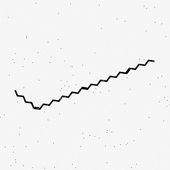 CCCCCC=CCCCC[CH]CCC=CCCCCCCCC/C=C\CCCCC